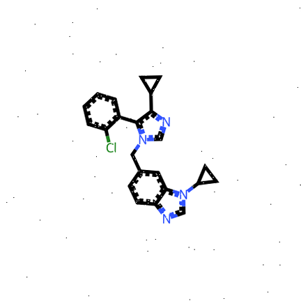 Clc1ccccc1-c1c(C2CC2)ncn1Cc1ccc2ncn(C3CC3)c2c1